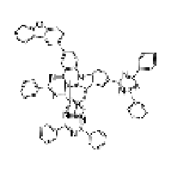 c1ccc(-c2nc(-c3ccccc3)nc(-c3ccc4c(c3)c3cc(-c5nc(-c6ccccc6)nc(-c6ccccc6)n5)ccc3n4-c3ccc(-c4ccc5oc6ccccc6c5c4)cc3-c3nc(-c4ccccc4)nc(-c4ccccc4)n3)n2)cc1